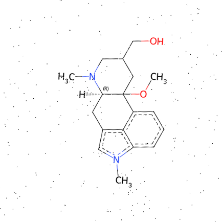 COC12CC(CO)CN(C)[C@@H]1Cc1cn(C)c3cccc2c13